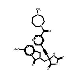 COc1ccc2c(c1)C(=O)N(C[C@@]1(C#Cc3cncc(C(=N)N4CCCN(C)CC4)c3)NC(=O)NC1=O)C2